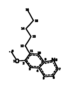 [CH2]Oc1cc2cccnc2cc1CCCCC